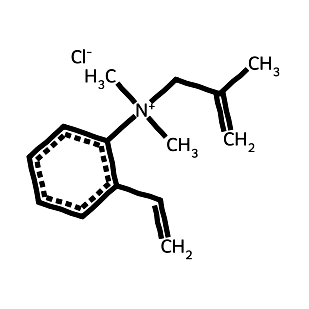 C=Cc1ccccc1[N+](C)(C)CC(=C)C.[Cl-]